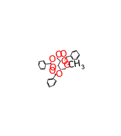 COC[C@@H](OC(=O)c1ccccc1)[C@H](OC(=O)c1ccccc1)[C@H](C=O)OC(=O)c1ccccc1